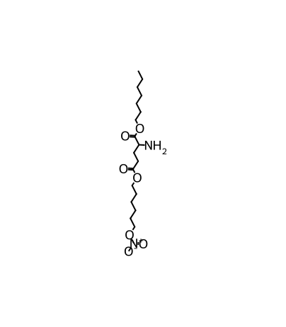 CCCCCCCOC(=O)C(N)CCC(=O)OCCCCCCO[N+](=O)[O-]